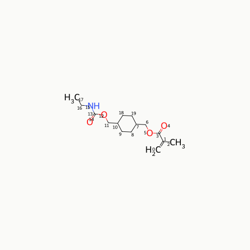 C=C(C)C(=O)OCC1CCC(COC(=O)NCC)CC1